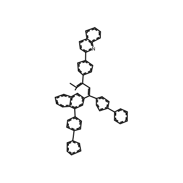 CC(C)=C(/C=C(/c1ccc(-c2ccccc2)cc1)c1cc(-c2ccc(-c3ccccc3)cc2)c2ccccc2c1)c1ccc(-c2ccc3ccccc3n2)cc1